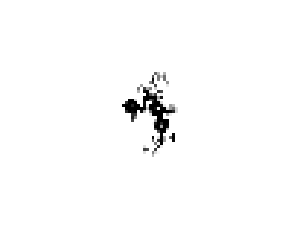 CCOC(=O)c1cn(Cc2c(F)cccc2F)c2cc(-c3ccc(NC(=O)CC)cc3)c(CBr)cc2c1=O